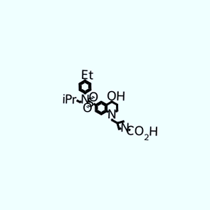 CCc1ccc(N(CC(C)C)S(=O)(=O)c2ccc3c(c2)C(O)CCN3CC2CN(C(=O)O)C2)cc1